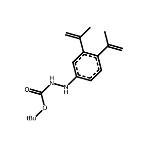 C=C(C)c1ccc(NNC(=O)OC(C)(C)C)cc1C(=C)C